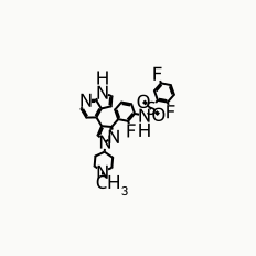 CN1CCC(n2cc(-c3ccnc4[nH]ccc34)c(-c3cccc(NS(=O)(=O)c4cc(F)ccc4F)c3F)n2)CC1